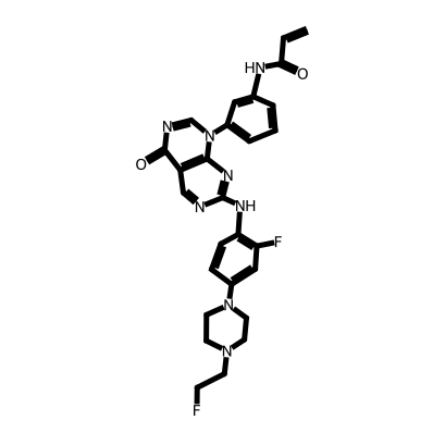 C=CC(=O)Nc1cccc(-n2cnc(=O)c3cnc(Nc4ccc(N5CCN(CCF)CC5)cc4F)nc32)c1